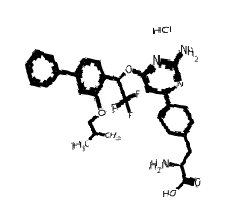 CC(C)COc1cc(-c2ccccc2)ccc1[C@@H](Oc1cc(C2=CCC(C[C@H](N)C(=O)O)CC2)nc(N)n1)C(F)(F)F.Cl